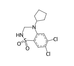 O=S1(=O)NCN(C2CCCC2)c2cc(Cl)c(Cl)cc21